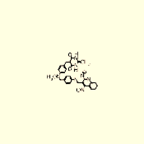 C=c1[nH]c(=O)c(=Cc2ccc(N(C)Cc3ccc(/N=C/c4c(N=O)nc5c(c4N=O)=CCCC=5)cc3)cc2)c(=O)[nH]1